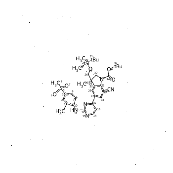 Cc1cc(S(C)(=O)=O)ccc1Nc1nccc(-c2cc(C#N)c3c(c2)[C@@](C)(CO[Si](C)(C)C(C)(C)C)CN3C(=O)OC(C)(C)C)n1